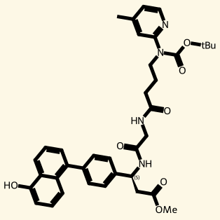 COC(=O)C[C@H](NC(=O)CNC(=O)CCCN(C(=O)OC(C)(C)C)c1cc(C)ccn1)c1ccc(-c2cccc3c(O)cccc23)cc1